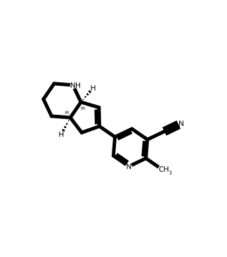 Cc1ncc(C2=C[C@@H]3NCCC[C@@H]3C2)cc1C#N